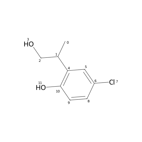 CC(CO)c1cc(Cl)ccc1O